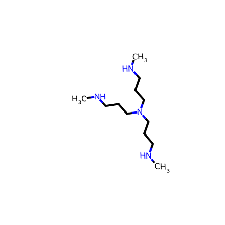 CNCCCN(CCCNC)CCCNC